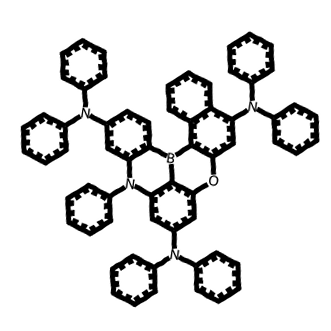 c1ccc(N(c2ccccc2)c2ccc3c(c2)N(c2ccccc2)c2cc(N(c4ccccc4)c4ccccc4)cc4c2B3c2c(cc(N(c3ccccc3)c3ccccc3)c3ccccc23)O4)cc1